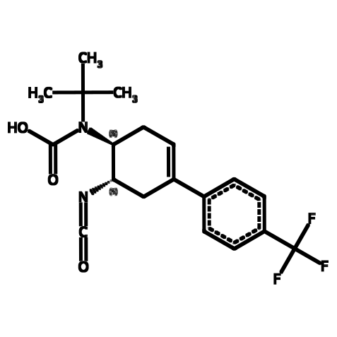 CC(C)(C)N(C(=O)O)[C@H]1CC=C(c2ccc(C(F)(F)F)cc2)C[C@@H]1N=C=O